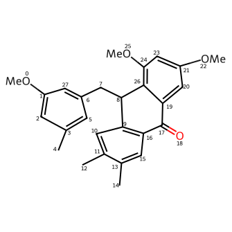 COc1cc(C)cc(CC2c3cc(C)c(C)cc3C(=O)c3cc(OC)cc(OC)c32)c1